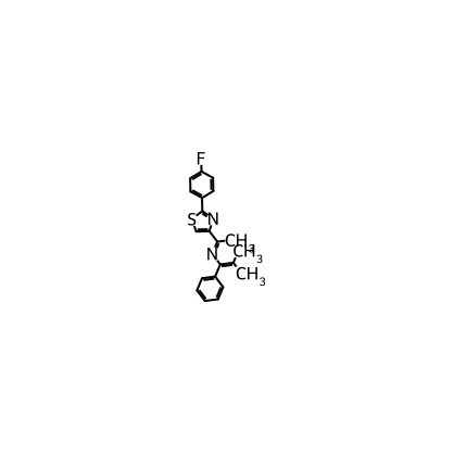 CC(C)=C(/N=C(\C)c1csc(-c2ccc(F)cc2)n1)c1ccccc1